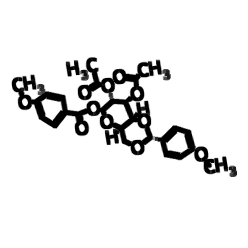 COc1ccc(C(=O)O[C@@H]2O[C@@H]3CO[C@@H](c4ccc(OC)cc4)O[C@H]3[C@H](OC(C)=O)[C@H]2OC(C)=O)cc1